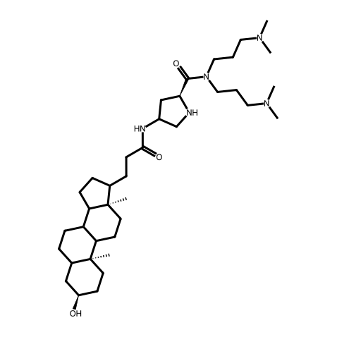 CN(C)CCCN(CCCN(C)C)C(=O)[C@@H]1CC(NC(=O)CCC2CCC3C4CCC5C[C@H](O)CC[C@]5(C)C4CC[C@]23C)CN1